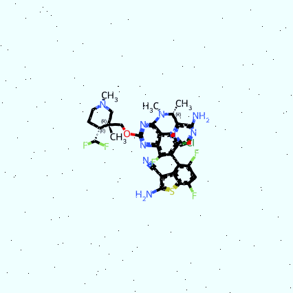 C[C@H](c1nccnc1N)N(C)c1nc(OC[C@@]2(C)CN(C)CC[C@H]2C(F)F)nc2c(F)c(-c3c(F)cc(F)c4sc(N)c(C#N)c34)c(Cl)cc12